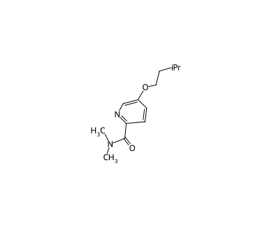 CC(C)CCOc1ccc(C(=O)N(C)C)nc1